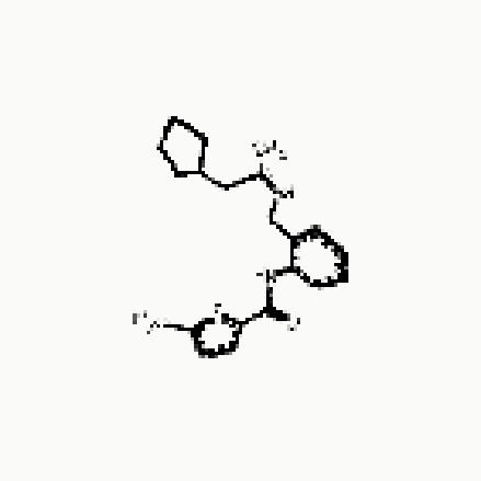 Cc1ccc(C(=O)Nc2ccccc2CN[C@@H](C)CC2CCCC2)s1